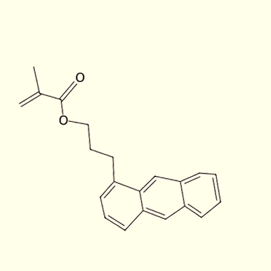 C=C(C)C(=O)OCCCc1cccc2cc3ccccc3cc12